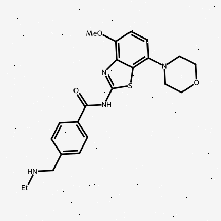 CCNCc1ccc(C(=O)Nc2nc3c(OC)ccc(N4CCOCC4)c3s2)cc1